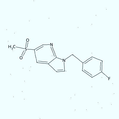 CS(=O)(=O)c1cnc2c(c[c]n2Cc2ccc(F)cc2)c1